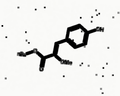 CCCCOC(=O)/C(=C/c1ccc(O)cc1)OC